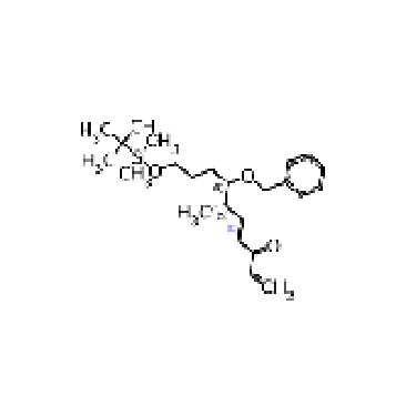 C=CC(=O)/C=C/[C@H](C)[C@@H](CCCO[Si](C)(C)C(C)(C)C)OCc1ccccc1